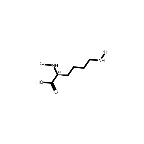 [2H]NCCCC[C@H](N[2H])C(=O)O